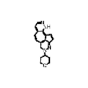 C1=NNc2c3ccc4c-3c(ccc2=C1)CN(C1CCOCC1)N=4